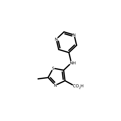 Cc1nc(C(=O)O)c(Nc2cncnc2)s1